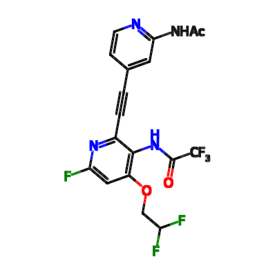 CC(=O)Nc1cc(C#Cc2nc(F)cc(OCC(F)F)c2NC(=O)C(F)(F)F)ccn1